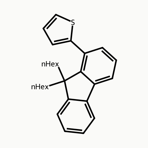 CCCCCCC1(CCCCCC)c2ccccc2-c2cccc(-c3cccs3)c21